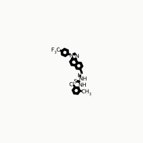 Cc1cccc(Cl)c1NC(=S)NN=Cc1ccc2c(ccc3c2ncn3-c2ccc(C(F)(F)F)cc2)c1